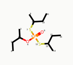 CCC(C)OP(=O)(SC(C)CC)SC(C)CC